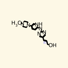 CN1CCN(c2ccc(Nc3ncc(/C=C/CO)cn3)nc2)CC1